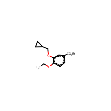 CCOC(=O)c1ccc(OCC(F)(F)F)c(OCC2CC2)c1